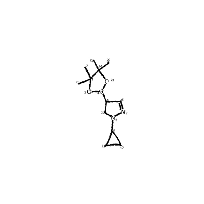 CC1(C)OB(C2C=NN(C3CC3)C2)OC1(C)C